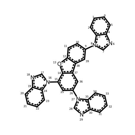 c1ccc2c(c1)ncn2-c1ccc2oc3c(-n4cnc5ccccc54)cc(-n4cnc5ccccc54)cc3c2c1